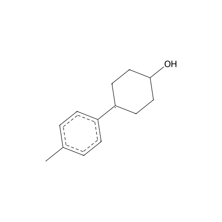 Cc1ccc([C]2CCC(O)CC2)cc1